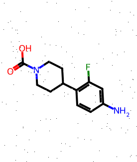 Nc1ccc(C2CCN(C(=O)O)CC2)c(F)c1